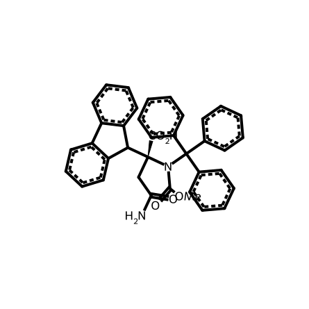 COC(=O)N(C(c1ccccc1)(c1ccccc1)c1ccccc1)[C@@](CC(N)=O)(C(=O)O)C1c2ccccc2-c2ccccc21